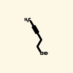 CC#CCC[C]=O